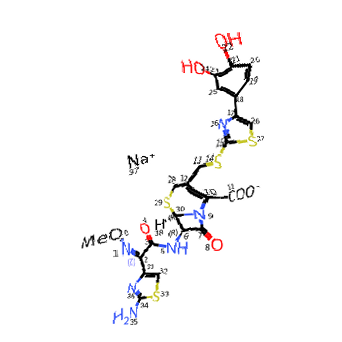 CO/N=C(\C(=O)N[C@@H]1C(=O)N2C(C(=O)[O-])=C(CSc3nc(-c4ccc(O)c(O)c4)cs3)CS[C@H]12)c1csc(N)n1.[Na+]